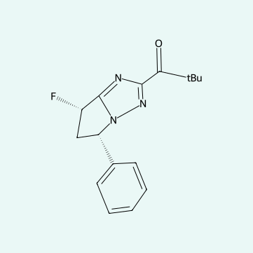 CC(C)(C)C(=O)c1nc2n(n1)[C@H](c1ccccc1)C[C@@H]2F